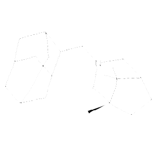 CC1(C)C2CC[C@]1(C)CN(CC1C3CC4CC(C3)CC1C4)C2